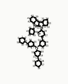 c1ccc(-c2ccc(N(c3ccc(-c4ccccc4)cc3)c3cccc(-c4ccc(-n5c6ccccc6c6c7ccccc7n(-c7ccccc7)c65)cc4)c3)cc2)cc1